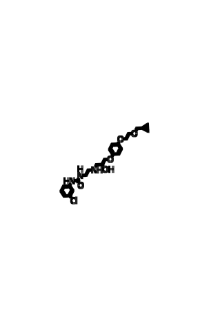 O=C(NCCNCC(O)COc1ccc(OCCOCC2CC2)cc1)Nc1cccc(Cl)c1